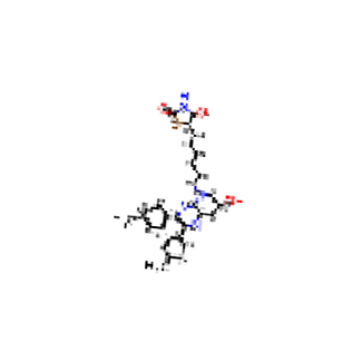 Cc1ccc(-c2nc3c(nc2-c2ccc(C)cc2)N(CCCCCCC2SC(=O)NC2=O)CC(O)C3)cc1